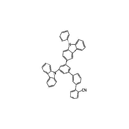 N#Cc1ccccc1-c1cccc(-c2cc(-c3ccc4c(c3)c3ccccc3n4-c3ccccc3)cc(-n3c4ccccc4c4ccccc43)c2)c1